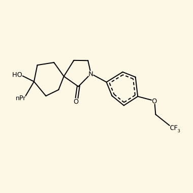 CCCC1(O)CCC2(CCN(c3ccc(OCC(F)(F)F)cc3)C2=O)CC1